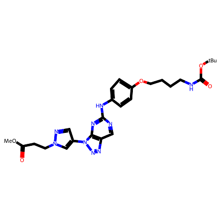 COC(=O)CCn1cc(-n2nnc3cnc(Nc4ccc(OCCCCNC(=O)OC(C)(C)C)cc4)nc32)cn1